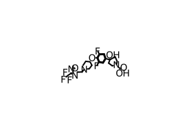 O=C(O)N1CCC(O)(c2cc(F)c(OC3CCN(Cc4nc(C(F)(F)F)no4)CC3)c(F)c2)CC1